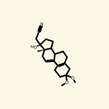 COC1(OC)CCC2=C(CCC3C2=CC[C@@]2(C)C3CC[C@@]2(O)CC#N)C1